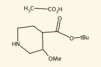 CC(=O)O.COC1CNCCC1C(=O)OC(C)(C)C